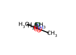 CCCCCCCCCCCCOC(=O)CC[C@@H](NC(=O)C[N+](C)(C)C)C(=O)OCCCCCCCCCCCC.[Cl-]